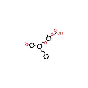 COc1ccc(-c2cc(/C=C/c3ccccc3)cc(COc3ccc(OCC(=O)O)c(C)c3)c2)cc1